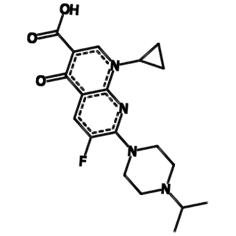 CC(C)N1CCN(c2nc3c(cc2F)c(=O)c(C(=O)O)cn3C2CC2)CC1